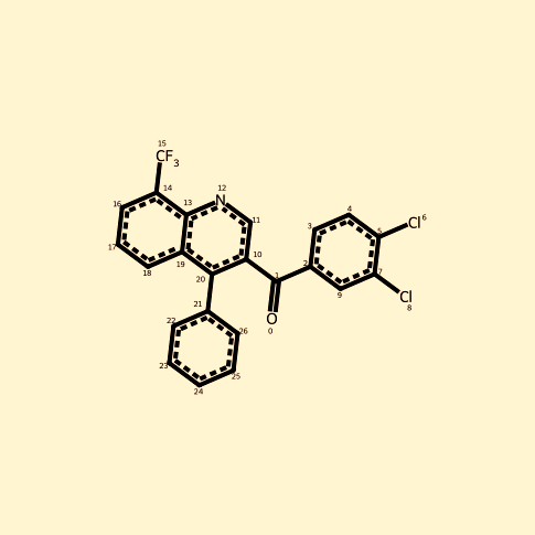 O=C(c1ccc(Cl)c(Cl)c1)c1cnc2c(C(F)(F)F)cccc2c1-c1ccccc1